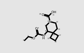 CCOC(=O)NC1CN(C(=O)O)CCC12CCC2